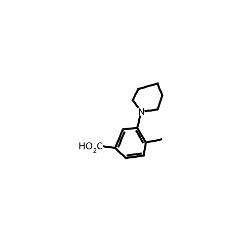 Cc1ccc(C(=O)O)cc1N1CCCCC1